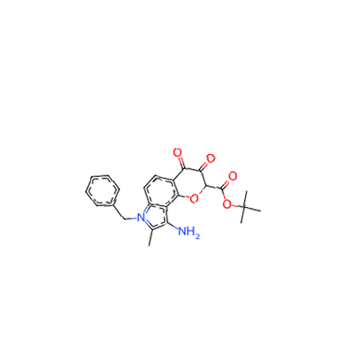 Cc1c(N)c2c3c(ccc2n1Cc1ccccc1)C(=O)C(=O)C(C(=O)OC(C)(C)C)O3